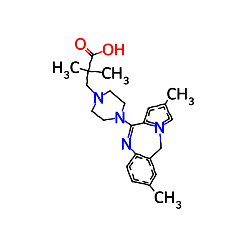 Cc1ccc2c(c1)Cn1cc(C)cc1C(N1CCN(CC(C)(C)C(=O)O)CC1)=N2